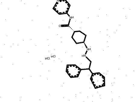 Cl.Cl.O=C(Nc1ccncc1)[C@H]1CC[C@H](NNCC(c2ccccc2)c2ccccc2)CC1